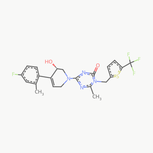 Cc1cc(F)ccc1C1=CCN(c2nc(C)n(Cc3ccc(C(F)(F)F)s3)c(=O)n2)C[C@@H]1O